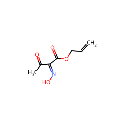 C=CCOC(=O)C(=NO)C(C)=O